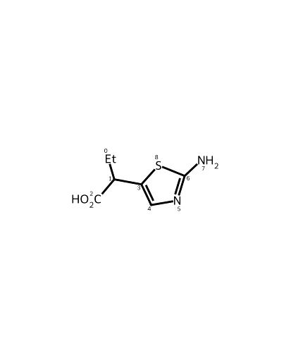 CCC(C(=O)O)c1cnc(N)s1